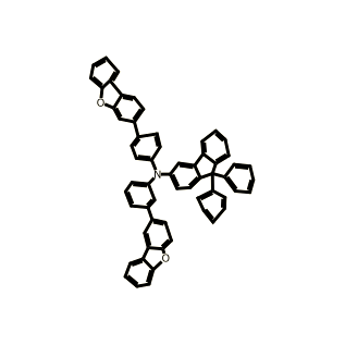 c1ccc(C2(c3ccccc3)c3ccccc3-c3cc(N(c4ccc(-c5ccc6c(c5)oc5ccccc56)cc4)c4cccc(-c5ccc6oc7ccccc7c6c5)c4)ccc32)cc1